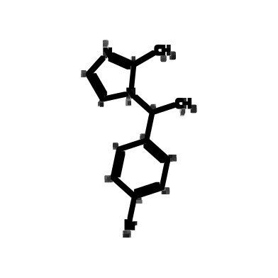 Cc1nccn1C(C)c1ccc(Br)cc1